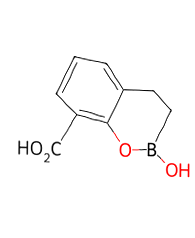 O=C(O)c1cccc2c1OB(O)CC2